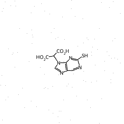 O=C(O)C(C(=O)O)n1cnc2cnc(S)nc21